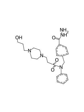 NNC(=O)c1ccc(CN(c2ccccc2)S(=O)(=O)CCN2CCN(CCCO)CC2)cc1